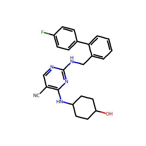 N#Cc1cnc(NCc2ccccc2-c2ccc(F)cc2)nc1NC1CCC(O)CC1